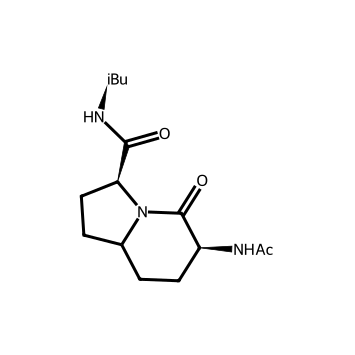 CC[C@H](C)NC(=O)[C@@H]1CCC2CC[C@H](NC(C)=O)C(=O)N21